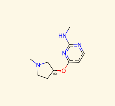 CNc1nccc(O[C@H]2CCN(C)C2)n1